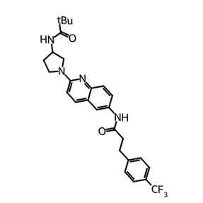 CC(C)(C)C(=O)NC1CCN(c2ccc3cc(NC(=O)CCc4ccc(C(F)(F)F)cc4)ccc3n2)C1